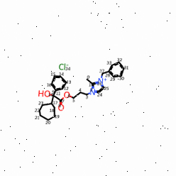 Cc1n(CCCOC(=O)C(O)(c2ccccc2)C2CCCCCC2)cc[n+]1Cc1ccccc1.[Cl-]